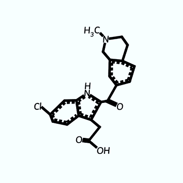 CN1CCc2ccc(C(=O)c3[nH]c4cc(Cl)ccc4c3CC(=O)O)cc2C1